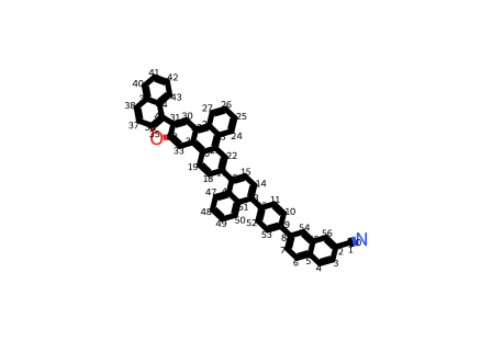 N#Cc1ccc2ccc(-c3ccc(-c4ccc(-c5ccc6c(c5)c5ccccc5c5cc7c(cc65)oc5ccc6ccccc6c57)c5ccccc45)cc3)cc2c1